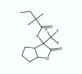 CCC(C)(C)C(=O)OC1(C(F)(F)F)C(=O)OC2CCCC21